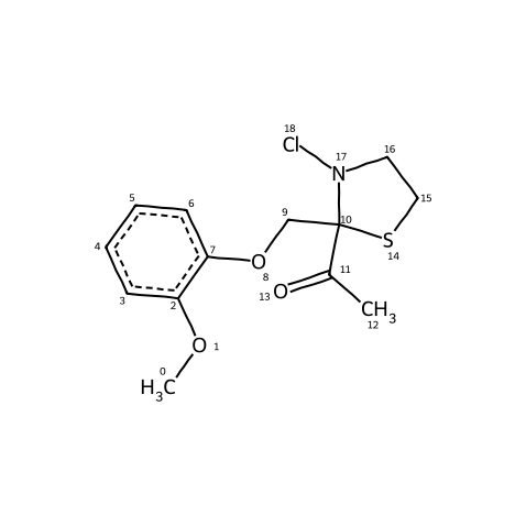 COc1ccccc1OCC1(C(C)=O)SCCN1Cl